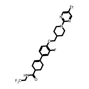 CCc1cnc(N2CCC(COc3ccc(C4=CCC(C(=O)NCC(F)(F)F)CC4)cc3F)CC2)nc1